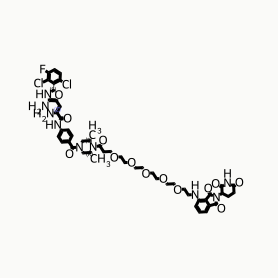 C[C@@H]1CN(C(=O)c2ccc(NC(=O)/C(N)=C/C3=C(N)N[C@H](c4c(Cl)ccc(F)c4Cl)O3)cc2)C[C@H](C)N1C(=O)CCOCCOCCOCCOCCOCCNc1cccc2c1C(=O)N(C1CCC(=O)NC1=O)C2=O